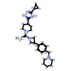 C=C(N1CCC(c2nnc(C3CC3)[nH]2)CC1)N1CC(c2ccc(CN3CCCCC3)cc2)C1